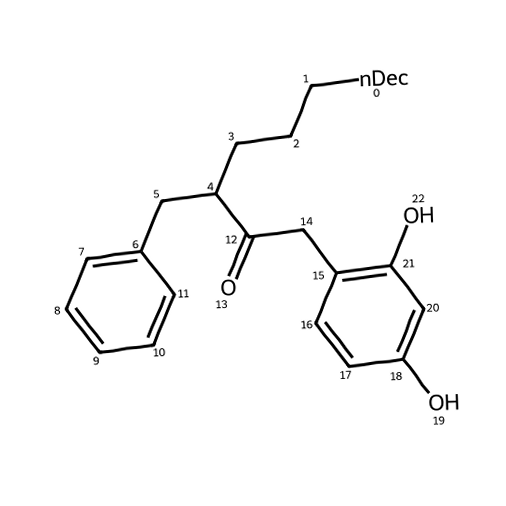 CCCCCCCCCCCCCC(Cc1ccccc1)C(=O)Cc1ccc(O)cc1O